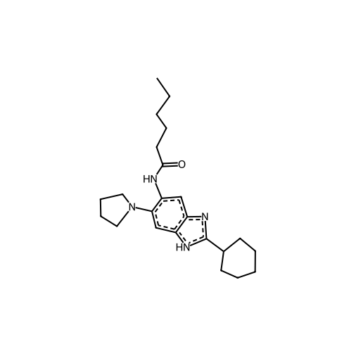 CCCCCC(=O)Nc1cc2nc(C3CCCCC3)[nH]c2cc1N1CCCC1